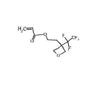 C=CC(=O)OCCC1(C(F)(F)C(F)(F)F)COC1